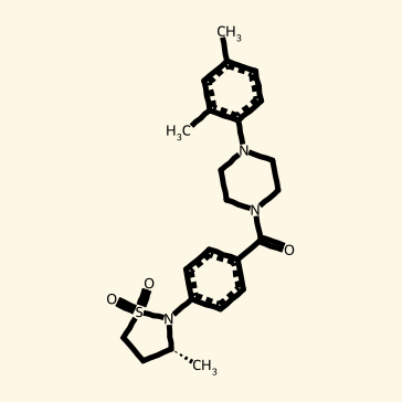 Cc1ccc(N2CCN(C(=O)c3ccc(N4[C@H](C)CCS4(=O)=O)cc3)CC2)c(C)c1